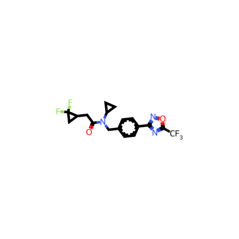 O=C(CC1CC1(F)F)N(Cc1ccc(-c2noc(C(F)(F)F)n2)cc1)C1CC1